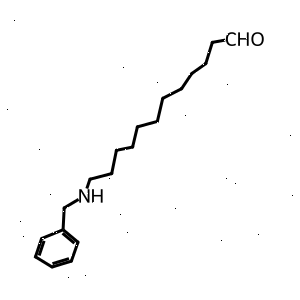 O=CCCCCCCCCCCCNCc1ccccc1